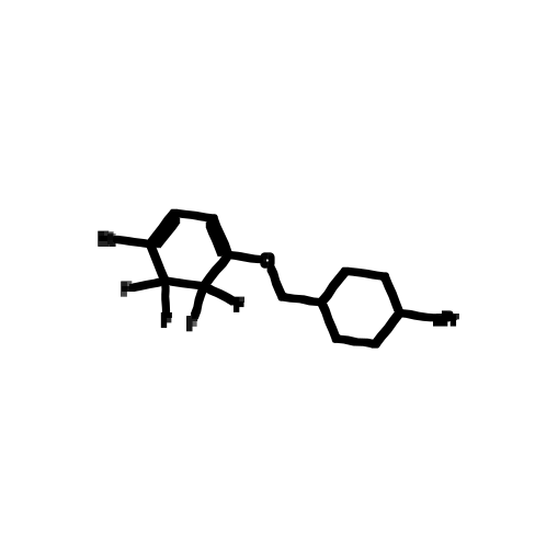 CCCC1CCC(COC2=CC=C(CC)C(F)(F)C2(F)F)CC1